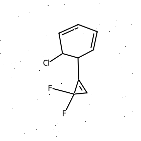 FC1(F)C=C1C1C=CC=CC1Cl